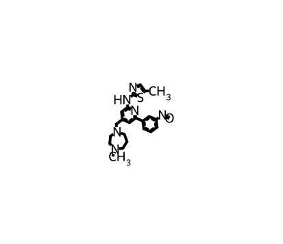 Cc1cnc(Nc2cc(CN3CCCN(C)CC3)cc(-c3cccc(N=O)c3)n2)s1